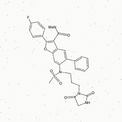 CNC(=O)c1c(-c2ccc(F)cc2)oc2cc(N(CCCN3C(=O)CNC3=O)S(C)(=O)=O)c(-c3ccccc3)cc12